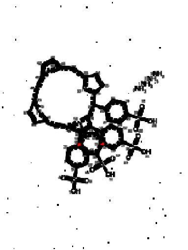 N.N.N.N.O=S(=O)(O)c1ccc(-c2c(-c3ccc(S(=O)(=O)O)cc3)c3c(-c4ccc(S(=O)(=O)O)cc4)c4nc(cc5ccc(cc6nc(cc2n3-c2ccc(S(=O)(=O)O)cc2)C=C6)[nH]5)C=C4)cc1